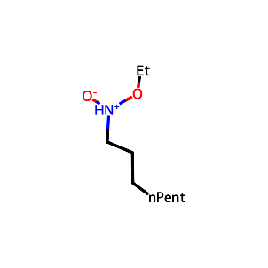 CCCCCCCC[NH+]([O-])OCC